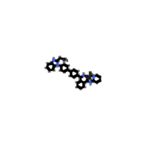 C=C(/N=c1/ccccn1C)c1ccccc1/C(=N\C)c1ccc(-c2ccc(-n3c(CC)nc4ccccc43)cc2)cc1